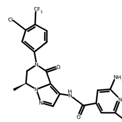 Cc1cc(C(=O)Nc2cnn3c2C(=O)N(c2ccc(C(F)(F)F)c(Cl)c2)C[C@@H]3C)cc(N)n1